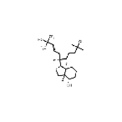 CC(C)(O)CCC[C@](C)(C/C=C/C(O)(C(F)(F)F)C(F)(F)F)[C@H]1CC[C@H]2[C@@H](O)CCC[C@]12C